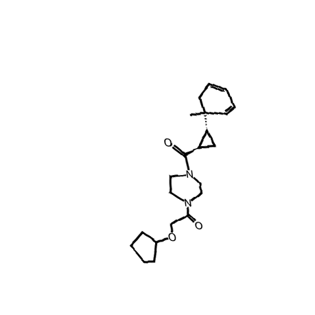 CC1([C@@H]2C[C@H]2C(=O)N2CCN(C(=O)COC3CCCC3)CC2)C=CC=CC1